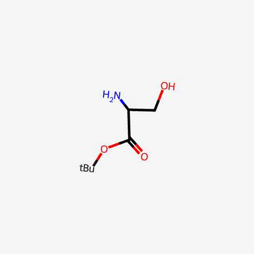 CC(C)(C)OC(=O)C(N)CO